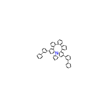 c1ccc(-c2cccc(-c3ccc4c(c3)-c3ccccc3-c3ccccc3-c3ccccc3-c3cc(-c5cccc(-c6ccccc6)c5)ccc3N4c3ccccc3)c2)cc1